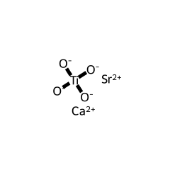 [Ca+2].[O-][Ti]([O-])([O-])[O-].[Sr+2]